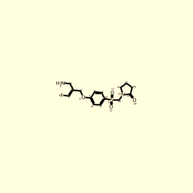 NCC(=CF)COc1ccc(S(=O)(=O)CN2CCCC2=O)cc1